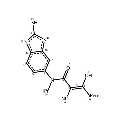 CCCC(C)/C(O)=C(\C#N)C(=O)N(c1ccc2nc(S)sc2c1)C(C)C